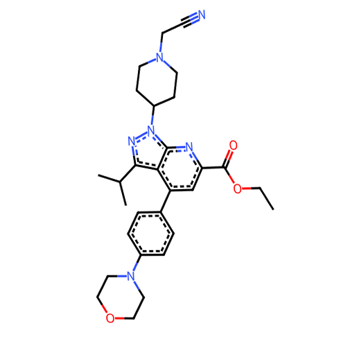 CCOC(=O)c1cc(-c2ccc(N3CCOCC3)cc2)c2c(C(C)C)nn(C3CCN(CC#N)CC3)c2n1